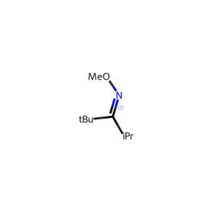 CO/N=C(/C(C)C)C(C)(C)C